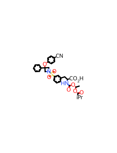 CC(OC(=O)NC(Cc1cccc(S(=O)(=O)N2CC(Oc3ccc(C#N)cc3)(c3ccccc3)C2)c1)C(=O)O)OC(=O)C(C)C